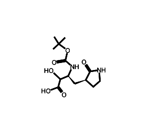 CC(C)(C)OC(=O)N[C@@H](C[C@@H]1CCNC1=O)C(O)C(=O)O